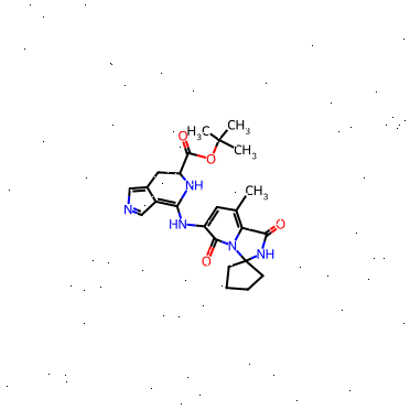 Cc1cc(NC2=C3C=NC=C3CC(C(=O)OC(C)(C)C)N2)c(=O)n2c1C(=O)NC21CCCC1